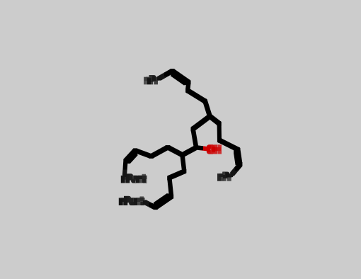 CCC/C=C\CCC(CC/C=C\CCC)CC(O)C(CC/C=C\CCCCC)CC/C=C\CCCCC